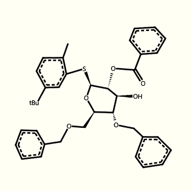 Cc1ccc(C(C)(C)C)cc1S[C@@H]1O[C@H](COCc2ccccc2)[C@@H](OCc2ccccc2)[C@H](O)[C@H]1OC(=O)c1ccccc1